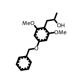 COc1cc(OCc2ccccc2)cc(OC)c1CC(C)O